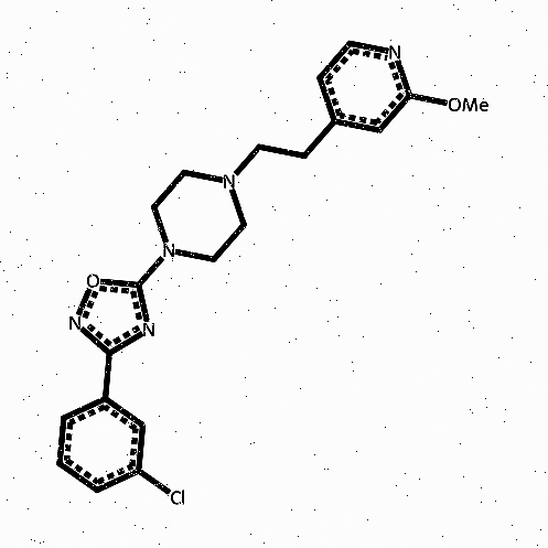 COc1cc(CCN2CCN(c3nc(-c4cccc(Cl)c4)no3)CC2)ccn1